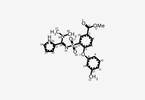 COC(=O)c1ccc(Oc2cccc(C)c2)c(S(=O)(=O)N=C(c2ccc[nH]2)N(C)C)c1